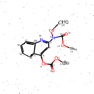 CC(C)(C)OC(=O)Oc1cc(N(OC=O)C(=O)OC(C)(C)C)nc2ccccc12